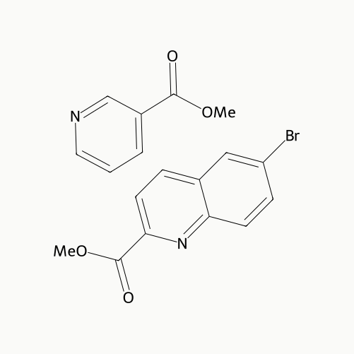 COC(=O)c1ccc2cc(Br)ccc2n1.COC(=O)c1cccnc1